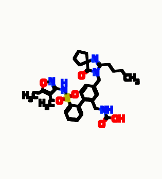 CCCCC1=NC2(CCCC2)C(=O)N1Cc1ccc(-c2ccccc2S(=O)(=O)Nc2noc(C)c2C)c(CNC(=O)O)c1